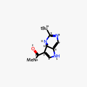 CNC(=O)c1c[nH]c2cnc(C(C)(C)C)nc12